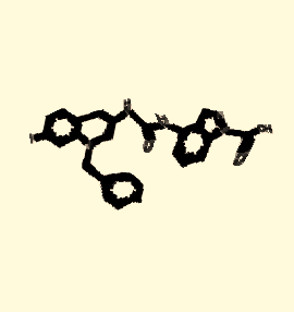 O=C(Nc1cccc2c1cnn2C(=O)O)NC1Cc2ccc(F)cc2N(Cc2ccccc2)C1